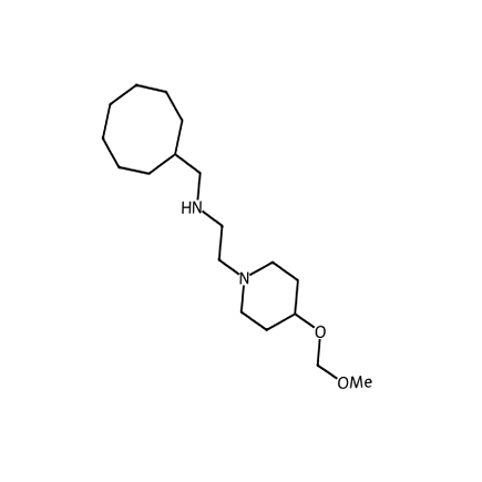 COCOC1CCN(CCNCC2CCCCCCC2)CC1